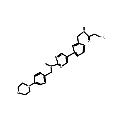 CN(Cc1cccc(-c2cnc(N(C)Cc3ccc(N4CCOCC4)cc3)nc2)c1)C(=O)CN